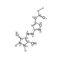 CCC(=O)Oc1cc(N=Nc2c(O)n(C)n(C)c2=O)no1